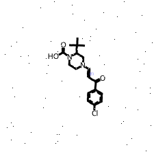 CC(C)(C)C1CN(/C=C/C(=O)c2ccc(Cl)cc2)CCN1C(=O)O